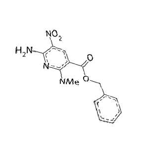 CNc1nc(N)c([N+](=O)[O-])cc1C(=O)OCc1ccccc1